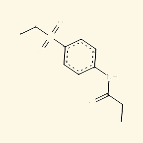 CCC(=O)Nc1ccc(S(=O)(=O)CC)cc1